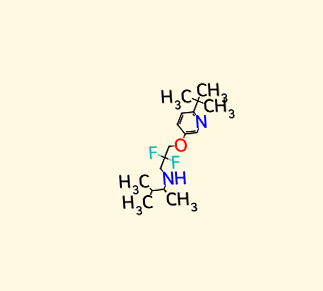 CC(C)[C@H](C)NCC(F)(F)COc1ccc(C(C)(C)C)nc1